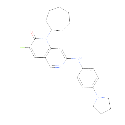 O=c1c(F)cc2cnc(Nc3ccc(N4CCCC4)cc3)cc2n1C1CCCCCC1